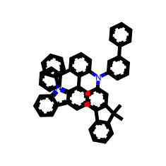 CC1(C)c2ccccc2-c2ccc(N(c3cccc(-c4ccccc4)c3)c3cccc(-c4ccccc4)c3-c3cccc4c5ccccc5n(-c5ccccc5)c34)cc21